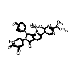 COc1nc(N(C)C)ncc1-c1cc2c(n1C(C)C)[C@H](c1ccc(Cl)cc1)N(c1c[nH]c(=O)c(Cl)c1)C2=O